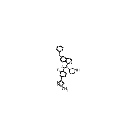 Cn1cc(-c2ccc(C(=O)N(c3nccc4cc(Cc5ccccc5)ccc34)[C@@H]3CCCNC3)c(F)c2)nn1